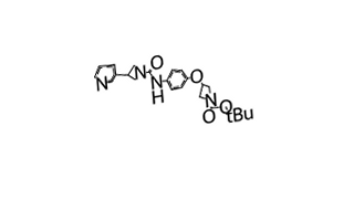 CC(C)(C)OC(=O)N1CC(Oc2ccc(NC(=O)N3CC(c4cccnc4)C3)cc2)C1